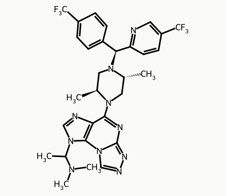 CC(N(C)C)n1cnc2c(N3C[C@@H](C)N([C@@H](c4ccc(C(F)(F)F)cc4)c4ccc(C(F)(F)F)cn4)C[C@@H]3C)nc3nncn3c21